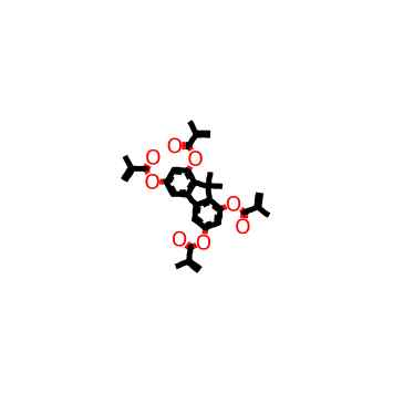 C=C(C)C(=O)Oc1cc(OC(=O)C(=C)C)c2c(c1)-c1cc(OC(=O)C(=C)C)cc(OC(=O)C(=C)C)c1C2(C)C